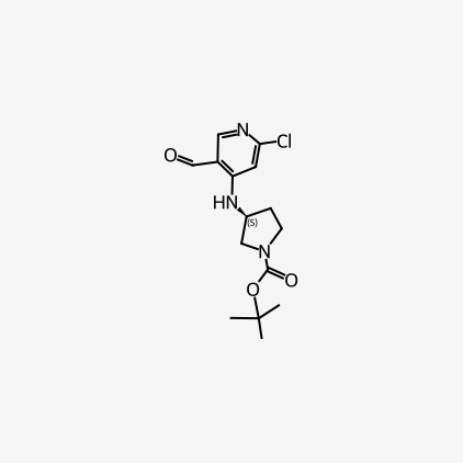 CC(C)(C)OC(=O)N1CC[C@H](Nc2cc(Cl)ncc2C=O)C1